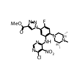 COC(=O)c1cn(-c2cc(Nc3ncnc(Cl)c3[N+](=O)[O-])c(N3C[C@@H](C)N(C)[C@@H](C)C3)cc2F)nn1